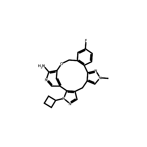 Cn1cc2c(n1)-c1ccc(F)cc1COc1cc(cnc1N)-c1c(cnn1C1CCC1)C2